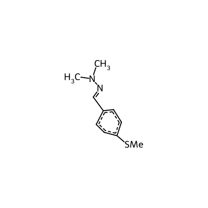 CSc1ccc(C=NN(C)C)cc1